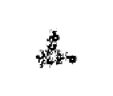 C=CCOP(=O)(OCCC#N)O[C@H]1[C@@H](F)[C@H](n2cnc3c(NC(=O)c4ccccc4)ncnc32)O[C@@H]1COP(=S)(OCCC#N)O[C@H]1[C@@H](F)[C@H](n2nnc3c(C(=O)OC)cccc32)O[C@@H]1CO